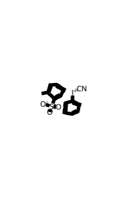 Cc1ccccc1S(=O)(=O)[O-].N#C[I+]c1ccccc1